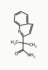 CC(C)(C(N)=O)c1ccc2ccccc2n1